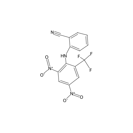 N#Cc1ccccc1Nc1c([N+](=O)[O-])cc([N+](=O)[O-])cc1C(F)(F)F